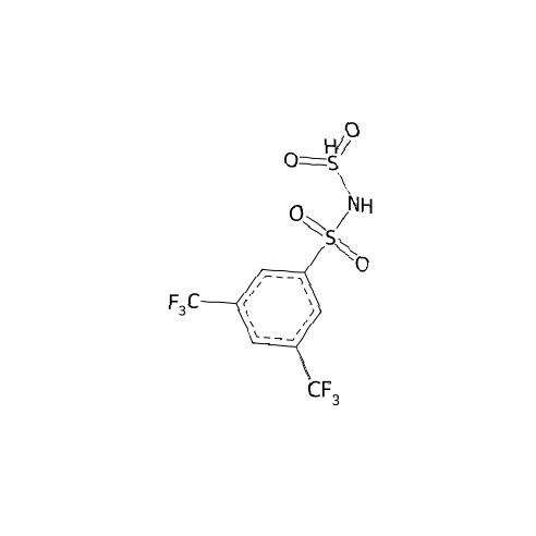 O=[SH](=O)NS(=O)(=O)c1cc(C(F)(F)F)cc(C(F)(F)F)c1